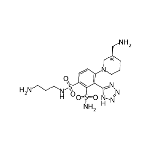 NCCCNS(=O)(=O)c1ccc(N2CCC[C@H](CN)C2)c(-c2nnn[nH]2)c1S(N)(=O)=O